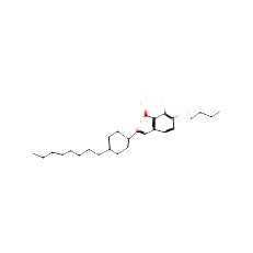 CCCCCCCCC1CCC(c2cc3ccc(OCCCC)c(F)c3c(=O)o2)CC1